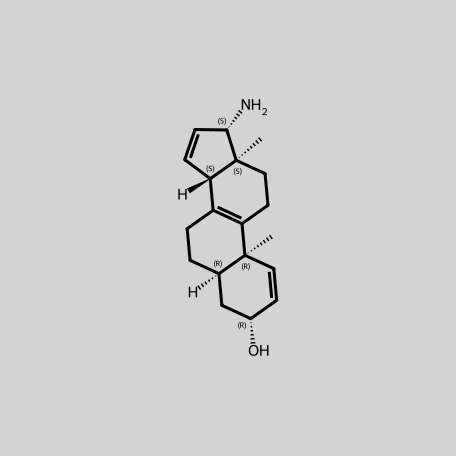 C[C@]12CCC3=C(CC[C@@H]4C[C@@H](O)C=C[C@]34C)[C@@H]1C=C[C@@H]2N